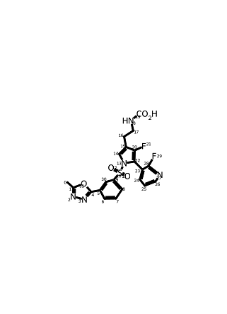 Cc1nnc(-c2cccc(S(=O)(=O)n3cc(CCNC(=O)O)c(F)c3-c3cccnc3F)c2)o1